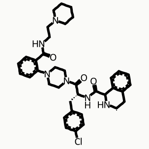 O=C(NCCN1CCCCC1)c1ccccc1N1CCN(C(=O)[C@@H](Cc2ccc(Cl)cc2)NC(=O)C2N[CH]Cc3ccccc32)CC1